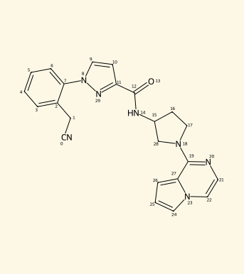 N#CCc1ccccc1-n1ccc(C(=O)NC2CCN(c3nccn4cccc34)C2)n1